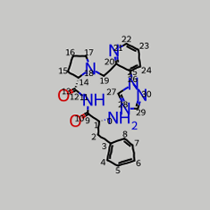 N[C@H](Cc1ccccc1)C(=O)NC(=O)[C@@H]1CCCN1Cc1ncccc1-n1cncn1